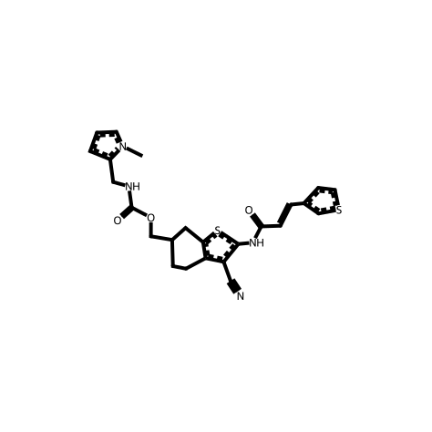 Cn1cccc1CNC(=O)OCC1CCc2c(sc(NC(=O)C=Cc3ccsc3)c2C#N)C1